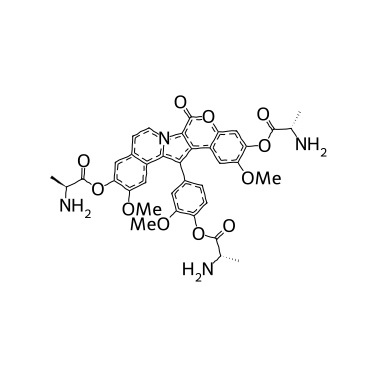 COc1cc(-c2c3c4cc(OC)c(OC(=O)[C@H](C)N)cc4oc(=O)c3n3ccc4cc(OC(=O)[C@H](C)N)c(OC)cc4c23)ccc1OC(=O)[C@H](C)N